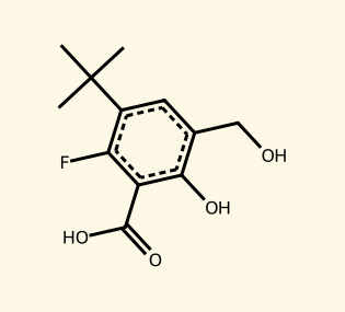 CC(C)(C)c1cc(CO)c(O)c(C(=O)O)c1F